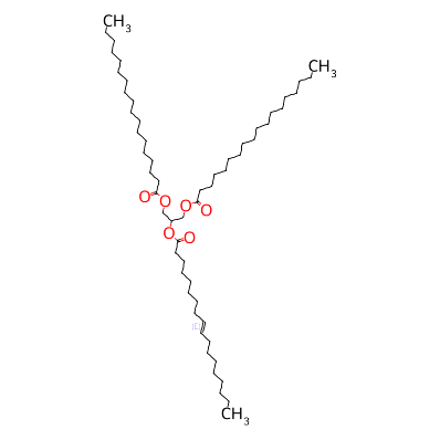 CCCCCCCC/C=C/CCCCCCCC(=O)OC(COC(=O)CCCCCCCCCCCCCCCCC)COC(=O)CCCCCCCCCCCCCCCCC